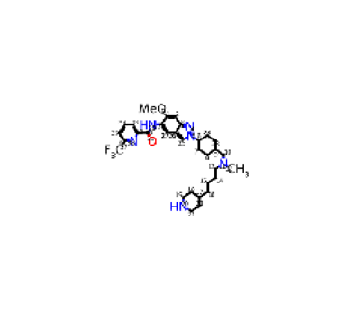 COc1cc2nn(C3CCC(CN(C)CCCCC4CCNCC4)CC3)cc2cc1NC(=O)c1cccc(C(F)(F)F)n1